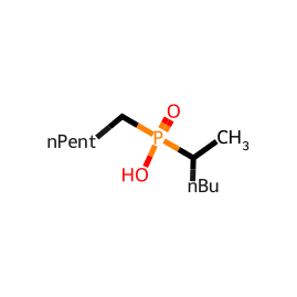 CCCCCCP(=O)(O)C(C)CCCC